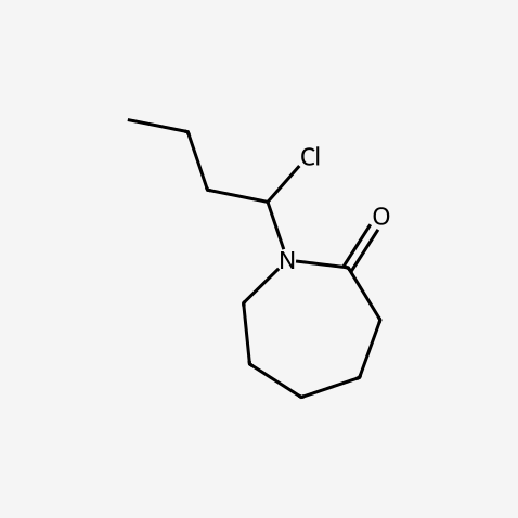 CCCC(Cl)N1CCCCCC1=O